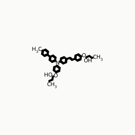 CCCC(O)Oc1ccc(C=Cc2ccc(N(c3ccc(OC(O)CCC)cc3)c3ccc(-c4ccc(C)cc4)cc3)cc2)cc1